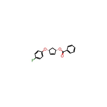 O=C(O[C@@H]1C=C[C@H](Oc2ccc(F)cc2)C1)c1ccccc1